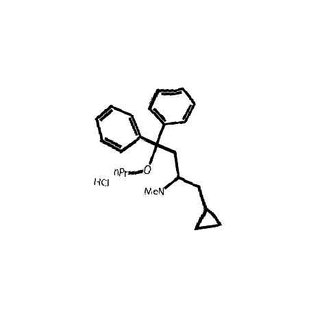 CCCOC(CC(CC1CC1)NC)(c1ccccc1)c1ccccc1.Cl